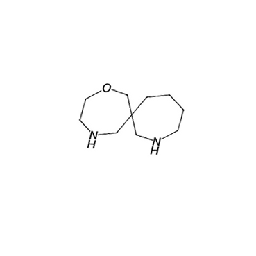 C1CCC2(CNC1)CNCCOC2